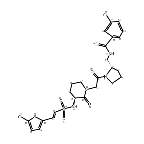 O=C(NC[C@@H]1CCCN1C(=O)CN1CCC[C@H](NS(=O)(=O)/C=C/c2ccc(Cl)s2)C1=O)c1cccc(Cl)c1